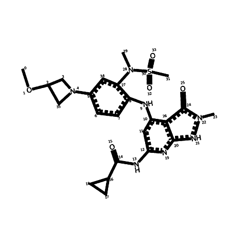 COC1CN(c2ccc(Nc3cc(NC(=O)C4CC4)nc4[nH]n(C)c(=O)c34)c(N(C)S(C)(=O)=O)c2)C1